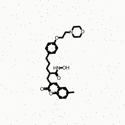 Cc1ccc2oc(=O)c(CC(CCCc3ccc(OCCN4CCOCC4)cc3)C(=O)NO)cc2c1